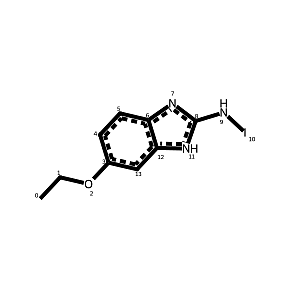 CCOc1ccc2nc(NI)[nH]c2c1